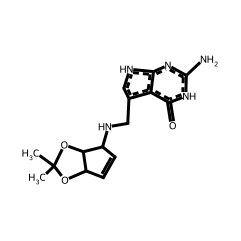 CC1(C)OC2C=CC(NCc3c[nH]c4nc(N)[nH]c(=O)c34)C2O1